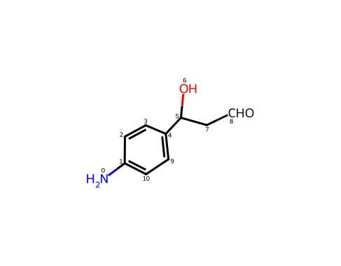 Nc1ccc(C(O)CC=O)cc1